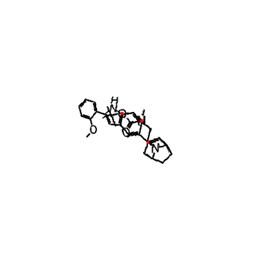 COc1ccccc1-c1cc2cc(C3=CC4CCC(C3)N4CCN(C)C(=O)OC(C)(C)C)ccc2[nH]1